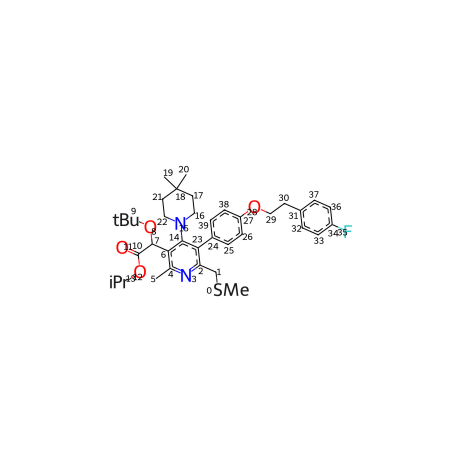 CSCc1nc(C)c(C(OC(C)(C)C)C(=O)OC(C)C)c(N2CCC(C)(C)CC2)c1-c1ccc(OCCc2ccc(F)cc2)cc1